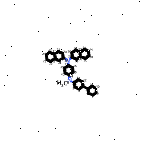 CN(c1ccc(-c2ccccc2)cc1)c1ccc(N(c2ccc3ccccc3c2)c2ccc3ccccc3c2)cc1